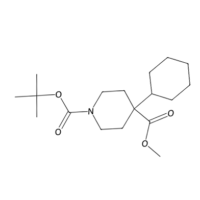 COC(=O)C1(C2CCCCC2)CCN(C(=O)OC(C)(C)C)CC1